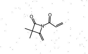 C=CC(=O)N1C(=C)C(C)(C)C1=O